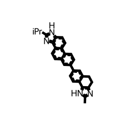 Cc1nc2c([nH]1)-c1ccc(-c3ccc4c(ccc5c4ccc4[nH]c(C(C)C)nc45)c3)cc1CC2